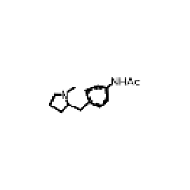 CC(=O)Nc1ccc(CC2CCCN2C)cc1